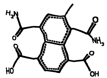 Cc1cc(C(N)=O)c2c(C(=O)O)ccc(C(=O)O)c2c1C(N)=O